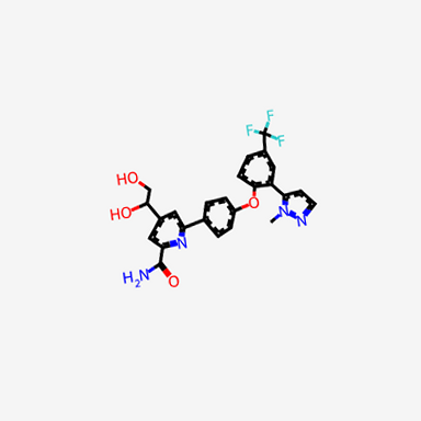 Cn1nccc1-c1cc(C(F)(F)F)ccc1Oc1ccc(-c2cc(C(O)CO)cc(C(N)=O)n2)cc1